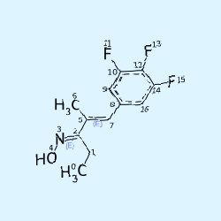 CCC(=N\O)/C(C)=C/c1cc(F)c(F)c(F)c1